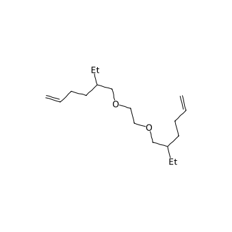 C=CCCC(CC)COCCOCC(CC)CCC=C